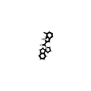 Cc1cccc2cc(C(=O)N3CCCC34CCc3ccccc34)[nH]c12